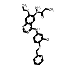 CCOc1cc2ncnc(Nc3ccc(OCc4ccccn4)c(Cl)c3)c2cc1N(N)C(=O)CC